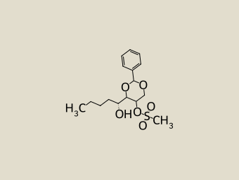 CCCC[C@@H](O)C1OC(c2ccccc2)OCC1OS(C)(=O)=O